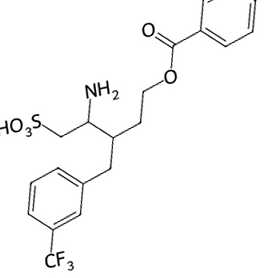 NC(CS(=O)(=O)O)C(CCOC(=O)c1ccccc1)Cc1cccc(C(F)(F)F)c1